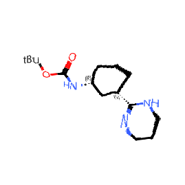 CC(C)(C)OC(=O)N[C@@H]1CCC[C@H](C2=NCCCN2)C1